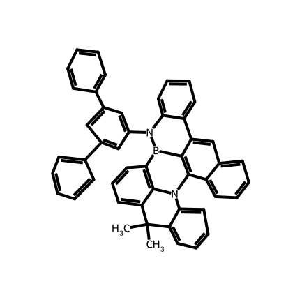 CC1(C)c2ccccc2N2c3c(cccc31)B1c3c(cc4ccccc4c32)-c2ccccc2N1c1cc(-c2ccccc2)cc(-c2ccccc2)c1